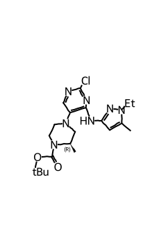 CCn1nc(Nc2nc(Cl)ncc2N2CCN(C(=O)OC(C)(C)C)[C@H](C)C2)cc1C